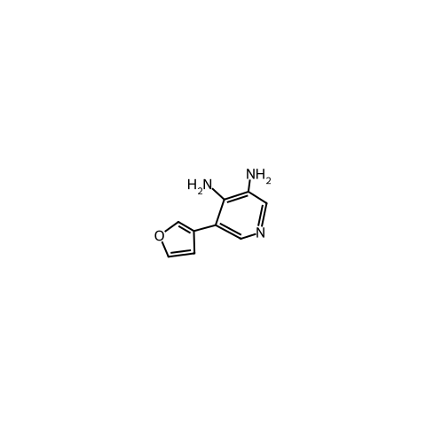 Nc1cncc(-c2ccoc2)c1N